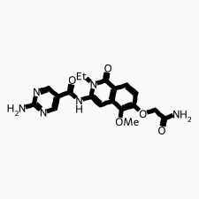 CCn1c(NC(=O)c2cnc(N)nc2)cc2c(OC)c(OCC(N)=O)ccc2c1=O